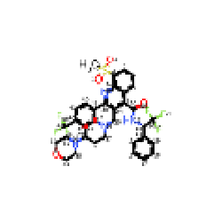 CS(=O)(=O)c1cccc2c(C(=O)N[C@H](c3ccccc3)C(F)(F)F)c(CN3CCC(N4CCOCC4)CC3)c(-c3ccc(C(F)(F)F)cc3)nc12